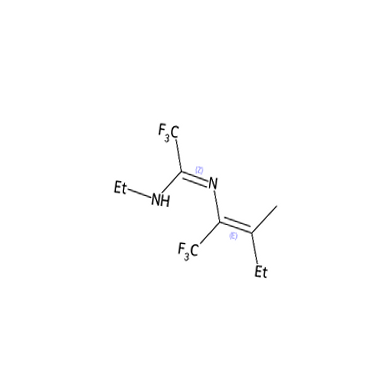 CCN/C(=N\C(=C(/C)CC)C(F)(F)F)C(F)(F)F